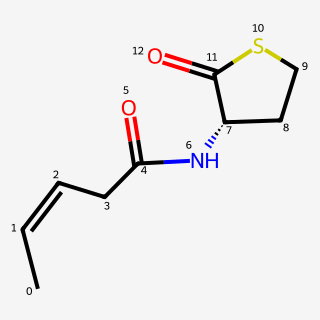 C/C=C\CC(=O)N[C@H]1CCSC1=O